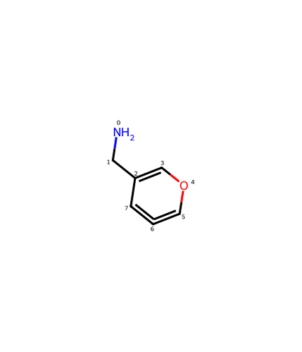 NCC1=COC=C=C1